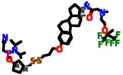 CC(C)N(C(C)C)P(CC#N)O[C@@H]1CC[C@@H](CSSCCCOc2ccc3c(c2)CCC2C3CC[C@@]3(C)C2CC[C@@H]3N(C)C(=O)CN(C)CCOC(C)(C(F)(F)F)C(F)(F)F)C1